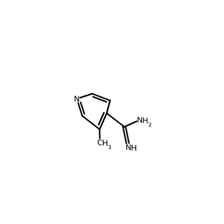 Cc1cnccc1C(=N)N